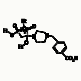 CCOC(CP(=O)(OCC)OCC)([PH2]=O)N1CCN(Cc2ccc(C(=O)O)cc2)CC1